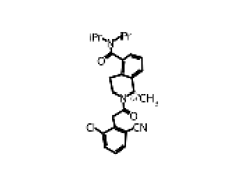 CC(C)N(C(=O)c1cccc2c1CCN(C(=O)Cc1c(Cl)cccc1C#N)[C@H]2C)C(C)C